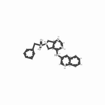 O=S(=O)(Cc1ccccc1)N1Cc2ncnc(Nc3cnc4ccccc4c3)c2C1